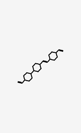 C=CC1CCC(/C=C/C2CCC(C3CCC(C=C)CC3)CC2)CC1